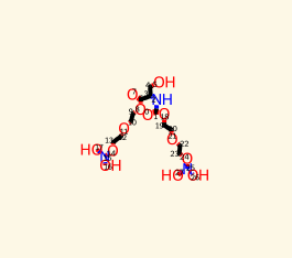 O=C(NC(CO)C(=O)OCCOCCON(O)O)OCCOCCON(O)O